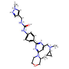 C[C@H]1COCCN1c1cc(CN(C)C2CC2)nc(-c2ccc(NC(=O)NCc3cnn(C)c3)cc2)n1